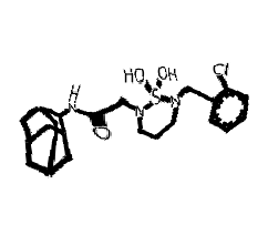 O=C(CN1CCCN(Cc2ccccc2Cl)S1(O)O)NC1C2CC3CC(C2)CC1C3